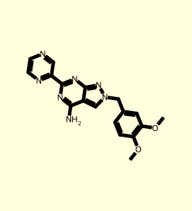 COc1ccc(Cn2cc3c(N)nc(-c4cnccn4)nc3n2)cc1OC